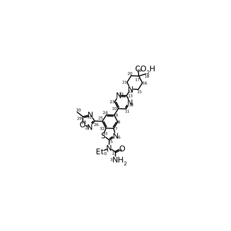 CCN(C(N)=O)c1nc2cc(-c3cnc(N4CCC(C)(C(=O)O)CC4)nc3)cc(-c3noc(C)n3)c2s1